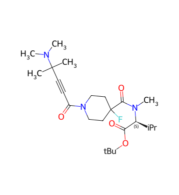 CC(C)[C@@H](C(=O)OC(C)(C)C)N(C)C(=O)C1(F)CCN(C(=O)C#CC(C)(C)N(C)C)CC1